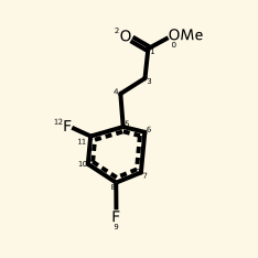 COC(=O)CCc1ccc(F)cc1F